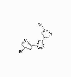 Brc1cncc(-c2cccc(-c3cncc(Br)c3)c2)c1